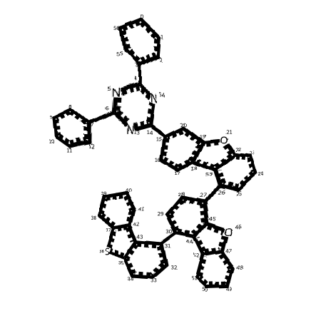 c1ccc(-c2nc(-c3ccccc3)nc(-c3ccc4c(c3)oc3cccc(-c5ccc(-c6cccc7sc8ccccc8c67)c6c5oc5ccccc56)c34)n2)cc1